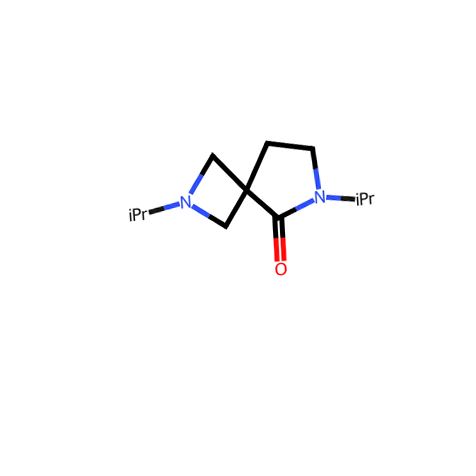 CC(C)N1CC2(CCN(C(C)C)C2=O)C1